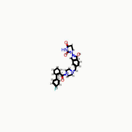 O=C1CCN(N2Cc3cc(CN4CCN(C(=O)C5=C(c6ccc(F)cc6)CCCC5)CC4)ccc3C2=O)C(=O)N1